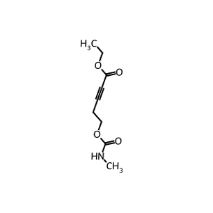 CCOC(=O)C#CCCOC(=O)NC